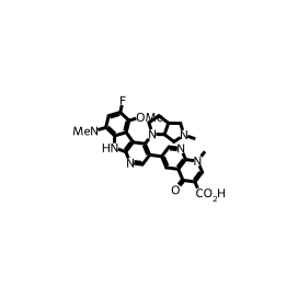 CNc1cc(F)c(OC)c2c1[nH]c1ncc(-c3cnc4c(c3)c(=O)c(C(=O)O)cn4C)c(N3CCC4CN(C)CC43)c12